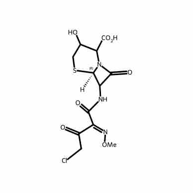 CON=C(C(=O)CCl)C(=O)NC1C(=O)N2C(C(=O)O)C(O)CS[C@H]12